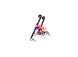 CCCCCCCCCCCCC(OC(=O)CCCCCCc1ccccc1)C(=O)N[C@H]1C(O[SiH](C)C)O[C@H](COC(C)(C)C)[C@@H](O)[C@@H]1OC(=O)CCCCCCc1ccccc1